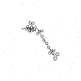 C=CCOC(=O)N[C@H]1CC(C(=O)OCC)=C[C@@H](OC(CC)CCNC(=O)CCOCCOCCOCCOCCNC(=O)OCC2c3ccccc3-c3ccccc32)C1NC(C)=O